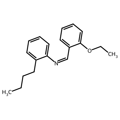 CCCCc1ccccc1/N=C\c1ccccc1OCC